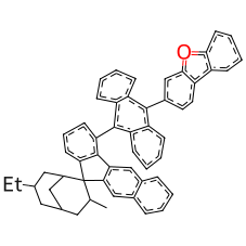 CCC1CC2CC(C)C3(c4cc5ccccc5cc4-c4c(-c5c6ccccc6c(-c6ccc7c(c6)oc6ccccc67)c6ccccc56)cccc43)C(C1)C2